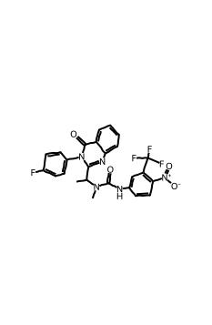 CC(c1nc2ccccc2c(=O)n1-c1ccc(F)cc1)N(C)C(=O)Nc1ccc([N+](=O)[O-])c(C(F)(F)F)c1